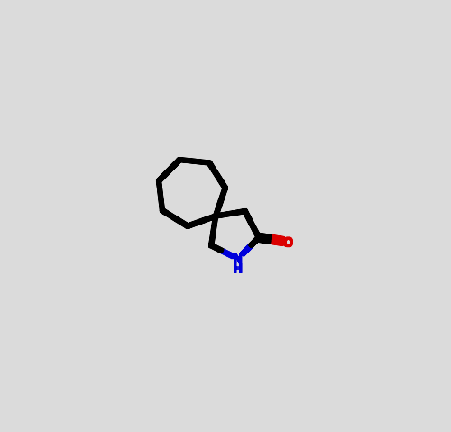 O=C1CC2(CCCCCC2)CN1